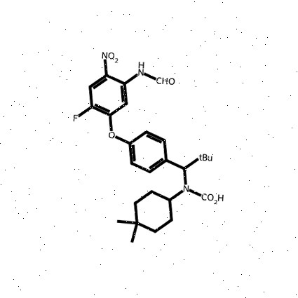 CC1(C)CCC(N(C(=O)O)C(c2ccc(Oc3cc(NC=O)c([N+](=O)[O-])cc3F)cc2)C(C)(C)C)CC1